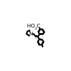 Cc1ccc(/C(=C/CN2CCCC2)c2cccc(C(=O)O)c2)cc1